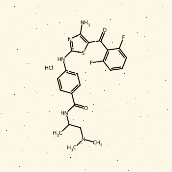 CC(CN(C)C)NC(=O)c1ccc(Nc2nc(N)c(C(=O)c3c(F)cccc3F)s2)cc1.Cl